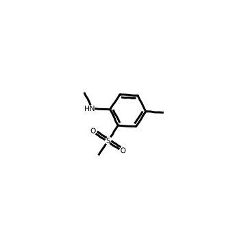 CNc1ccc(C)cc1S(C)(=O)=O